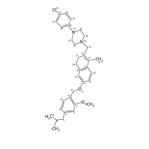 COc1cc(CC(C)C)ccc1COc1ccc2c(c1)CCC(CN1CCN(c3ccc(Cl)cc3)CC1)=C2C